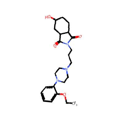 O=C1C2CCC(O)CC2C(=O)N1CCCN1CCN(c2ccccc2OCC(F)(F)F)CC1